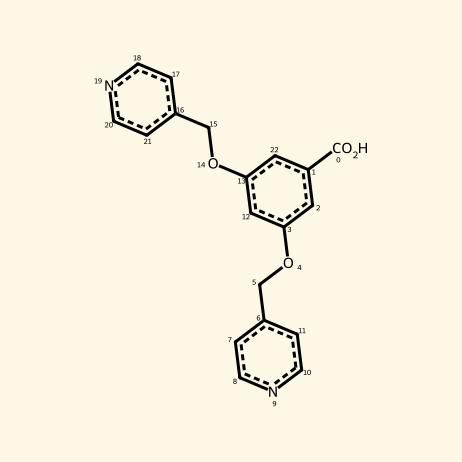 O=C(O)c1cc(OCc2ccncc2)cc(OCc2ccncc2)c1